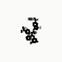 CN(C(=O)O)c1ccc2c(CC(=O)NC(Cc3cc(F)cc(F)c3)c3ncccc3-c3cccc(C(N)=O)c3)c[nH]c2c1